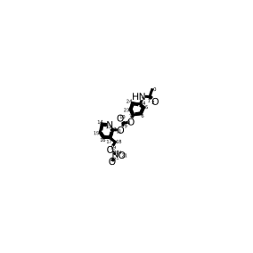 CC(=O)Nc1ccc(OC(=O)Oc2ncccc2CO[N+](=O)[O-])cc1